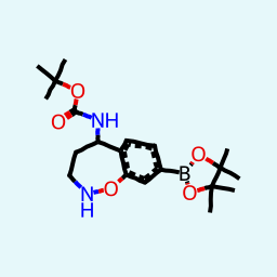 CC(C)(C)OC(=O)NC1CCNOc2cc(B3OC(C)(C)C(C)(C)O3)ccc21